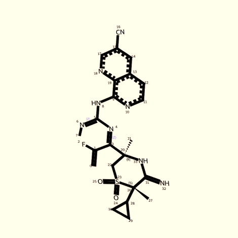 C=C(F)/C(=N\C(=N/C)Nc1nccc2cc(C#N)cnc12)[C@]1(C)CS(=O)(=O)[C@@](C)(C2CC2)C(=N)N1